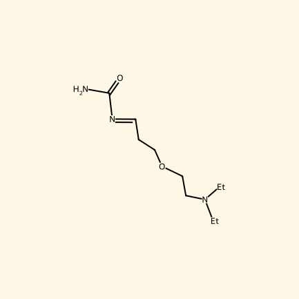 CCN(CC)CCOCCC=NC(N)=O